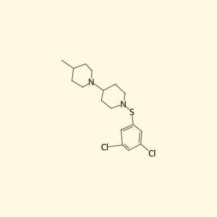 CC1CCN(C2CCN(Sc3cc(Cl)cc(Cl)c3)CC2)CC1